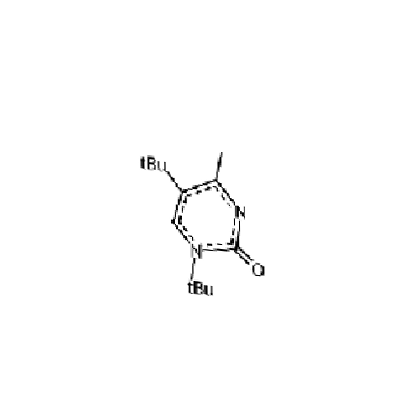 Cc1nc(=O)n(C(C)(C)C)cc1C(C)(C)C